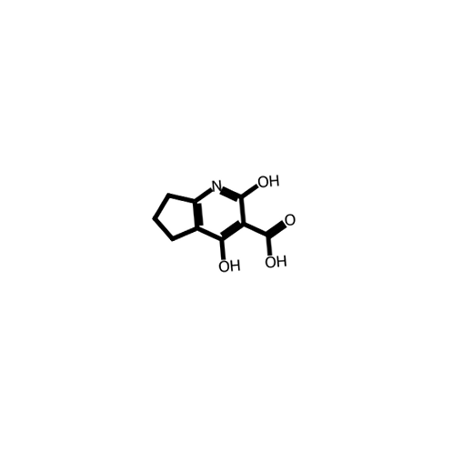 O=C(O)c1c(O)nc2c(c1O)CCC2